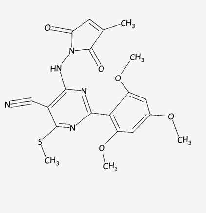 COc1cc(OC)c(-c2nc(NN3C(=O)C=C(C)C3=O)c(C#N)c(SC)n2)c(OC)c1